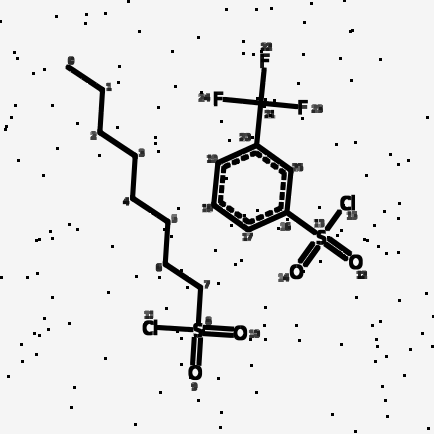 CCCCCCCCS(=O)(=O)Cl.O=S(=O)(Cl)c1cccc(C(F)(F)F)c1